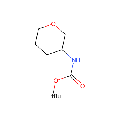 CC(C)(C)OC(=O)NC1CCCOC1